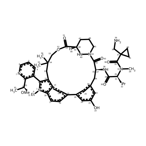 CCn1c(-c2cccnc2[C@H](C)OC)c2c3cc(ccc31)-c1cc(O)cc(c1)C[C@H](NC(=O)[C@H](C(C)C)N(C)C(=O)C1(CN)CC1)C(=O)N1CCC[C@H](N1)C(=O)OCC(C)(C)C2